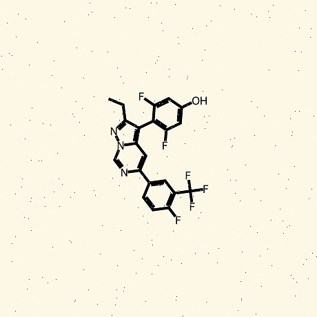 CCc1nn2cnc(-c3ccc(F)c(C(F)(F)F)c3)cc2c1-c1c(F)cc(O)cc1F